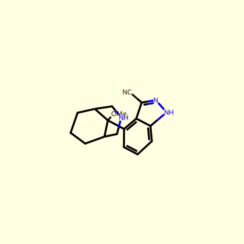 COC1(c2cccc3[nH]nc(C#N)c23)C2CCCC1CNC2